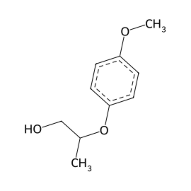 COc1ccc(OC(C)CO)cc1